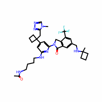 CC(=O)NCCCCNc1cc(C2(Cc3nncn3C)CCC2)cc(N2Cc3c(cc(CNC4(C)CCC4)cc3C(F)(F)F)C2=O)n1